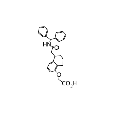 O=C(O)COc1cccc2c1CCCC2CC(=O)NC(c1ccccc1)c1ccccc1